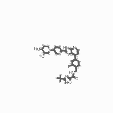 CC(C)(C)c1noc(C(=O)NCc2ccc(-c3ccnc4[nH]c(-c5ccc(N6CC[C@H](O)[C@@H](O)C6)cn5)nc34)cc2F)n1